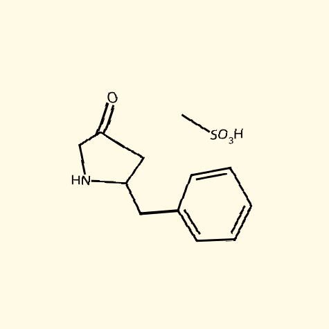 CS(=O)(=O)O.O=C1CNC(Cc2ccccc2)C1